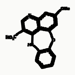 CCOC(=O)c1cnc2cc(OC)cc3c2c1Nc1ccccc1O3